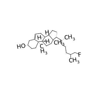 CC(CF)CCC[C@@H](C)[C@H]1CC[C@H]2[C@@H]3CC=C4C[C@@H](O)CC[C@]4(C)[C@H]3CC[C@]12C